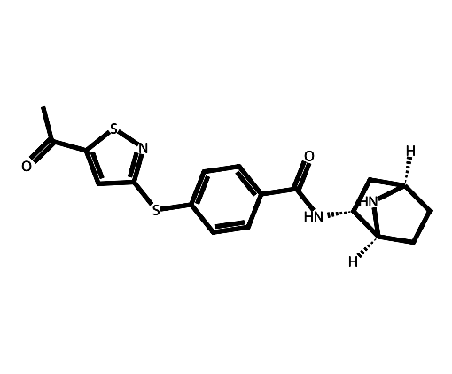 CC(=O)c1cc(Sc2ccc(C(=O)N[C@@H]3C[C@H]4CC[C@@H]3N4)cc2)ns1